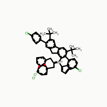 CC(C)(C)c1cc2c(cc1-c1ccc(Cl)cc1)Cc1c-2cc(C(C)(C)C)c(-c2ccc(Cl)cc2)[c]1[Zr+2]([C]1=CC=CC1)=[C](Cc1ccccc1)Cc1ccccc1.[Cl-].[Cl-]